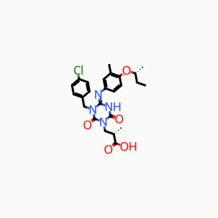 CC[C@@H](C)Oc1ccc(/N=c2\[nH]c(=O)n(C[C@H](C)C(=O)O)c(=O)n2Cc2ccc(Cl)cc2)cc1C